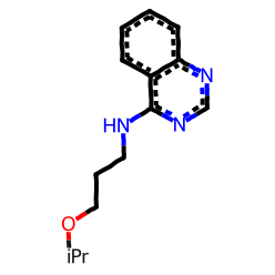 CC(C)OCCCNc1ncnc2ccccc12